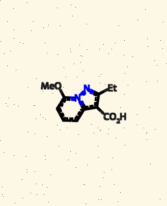 CCc1nn2c(OC)cccc2c1C(=O)O